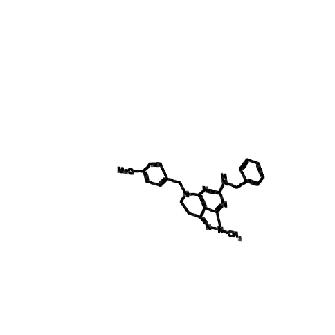 COc1ccc(CN2CCc3nn(C)c4nc(NCc5ccccc5)nc2c34)cc1